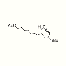 C=C=CC(CCCC)CCCCCCCCCOC(C)=O